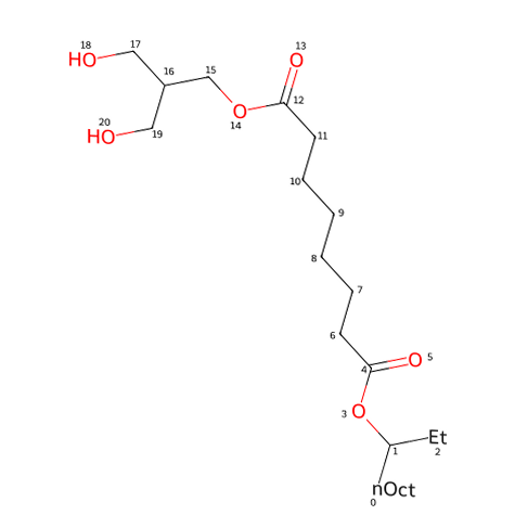 CCCCCCCCC(CC)OC(=O)CCCCCCC(=O)OCC(CO)CO